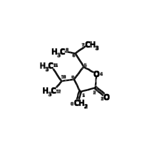 C=C1C(=O)OC(C(C)C)C1C(C)C